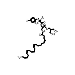 CC/C=C\C/C=C\C/C=C\C/C=C\C/C=C\C/C=C\CCC(=O)NCC(NC(=O)C(C)(C)Oc1ccc(Cl)cc1)C(=O)OCC(CO)CO